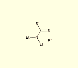 CCN(CC)C(=S)[S-].[K+]